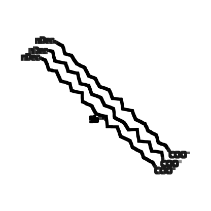 CCCCCCCCCCCCCCCCCCCCCCCCCCCCCC(=O)[O-].CCCCCCCCCCCCCCCCCCCCCCCCCCCCCC(=O)[O-].CCCCCCCCCCCCCCCCCCCCCCCCCCCCCC(=O)[O-].[Sb+3]